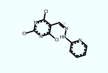 Clc1nc(Cl)c(/C=N\Nc2ccccn2)c(Cl)n1